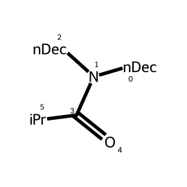 CCCCCCCCCCN(CCCCCCCCCC)C(=O)C(C)C